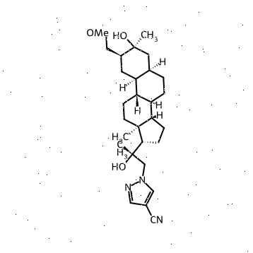 COC[C@@H]1C[C@H]2[C@H](CC[C@@H]3[C@@H]2CC[C@@]2(C)[C@H]3CC[C@@H]2[C@@](C)(O)Cn2cc(C#N)cn2)C[C@]1(C)O